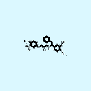 COc1ccc(C(Cc2ccccc2)NC[C@H](O)COc2ccc(N)c([N+](=O)[O-])c2)cc1OC